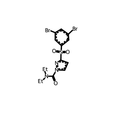 CCN(CC)C(=O)n1ccc(S(=O)(=O)c2cc(Br)cc(Br)c2)n1